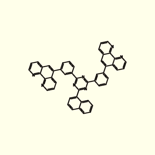 c1cc(-c2nc(-c3cccc(-c4cc5cccnc5c5ncccc45)c3)nc(-c3cccc4ccccc34)n2)cc(-c2cc3cccnc3c3ncccc23)c1